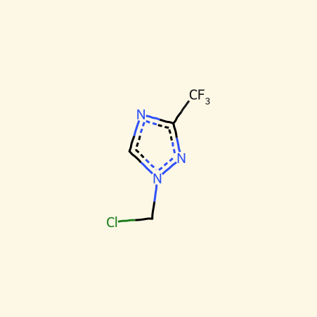 FC(F)(F)c1ncn(CCl)n1